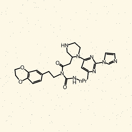 CCCNC(=O)N(CCc1ccc2c(c1)OCCO2)C(=O)CC1CNCCN1c1cc(C)nc(-n2ccnc2)n1